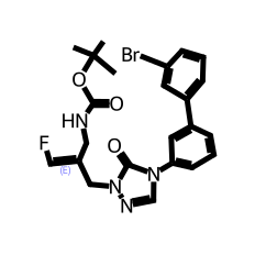 CC(C)(C)OC(=O)NC/C(=C\F)Cn1ncn(-c2cccc(-c3cccc(Br)c3)c2)c1=O